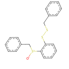 [O-][S+](Cc1ccccc1)c1ccccc1SSCc1ccccc1